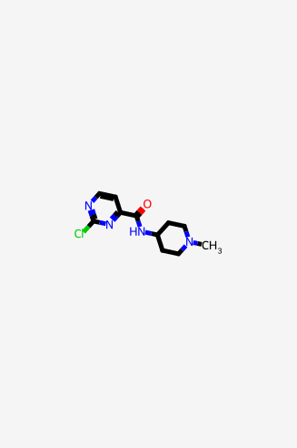 CN1CCC(NC(=O)c2ccnc(Cl)n2)CC1